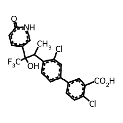 CC(c1ccc(-c2ccc(Cl)c(C(=O)O)c2)cc1Cl)C(O)(c1ccc(=O)[nH]c1)C(F)(F)F